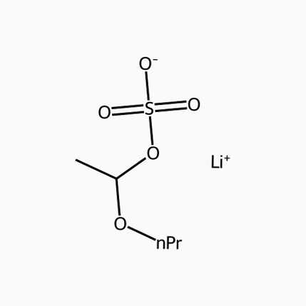 CCCOC(C)OS(=O)(=O)[O-].[Li+]